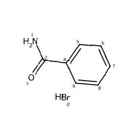 Br.NC(=O)c1ccccc1